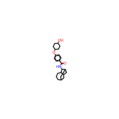 O=C(NC1C2CC3CCCC1C(C3)C2)c1ccc(OC2CCC(O)CC2)cc1